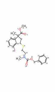 COC(=O)C(C)(CCSCCN(C)C(=O)OCc1ccccc1)c1cccc(I)c1